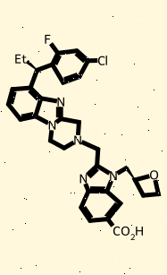 CC[C@@H](c1ccc(Cl)cc1F)c1cccc2c1nc1n2CCN(Cc2nc3ccc(C(=O)O)cc3n2C[C@@H]2CCO2)C1